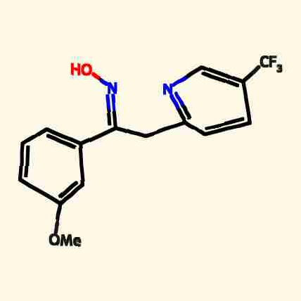 COc1cccc(/C(Cc2ccc(C(F)(F)F)cn2)=N\O)c1